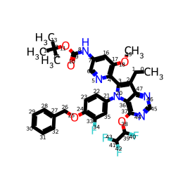 CCc1c(-c2ncc(NC(=O)OC(C)(C)C)cc2OC)n(-c2ccc(OCc3ccccc3)c(F)c2)c2c(OC(F)C(F)F)ncnc12